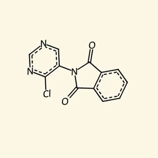 O=C1c2ccccc2C(=O)N1c1cncnc1Cl